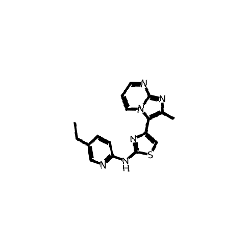 CCc1ccc(Nc2nc(-c3c(C)nc4ncccn34)cs2)nc1